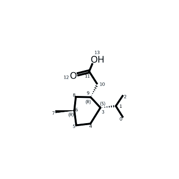 CC(C)[C@@H]1CC[C@@H](C)C[C@@H]1CC(=O)O